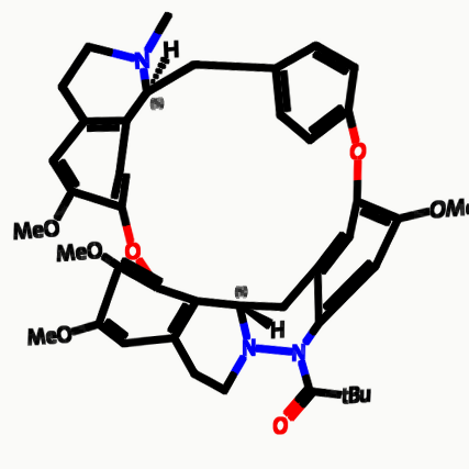 COc1cc2c3cc1Oc1ccc(cc1)C[C@H]1c4cc(c(OC)cc4CCN1C)Oc1c(OC)c(OC)cc4c1[C@H](C3)N(CC4)N2C(=O)C(C)(C)C